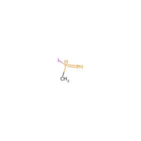 C[PH](=P)I